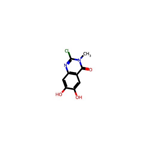 Cn1c(Cl)nc2cc(O)c(O)cc2c1=O